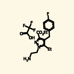 CCOC(=O)c1nn(CCN)c(CC)c1Cc1ccc(F)cc1.O=C(O)C(F)(F)F